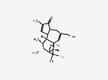 CC(=O)OCC1=C[C@H]2[C@@H]3C(C)(C)[C@]3(OC(C)=O)[C@H](OC(C)=O)[C@@H](C)[C@]2(O)C2C=C(C)C(=O)C2C1